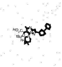 Cc1nc2cc(-c3cccc(-c4ccccc4)c3)nn2c(N2CCC3(C)C[C@H]3C2)c1[C@H](OC(C)(C)C)C(=O)O